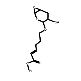 CC(C)OC(=O)/C=C/CCCOC1OC2OC2CC1O